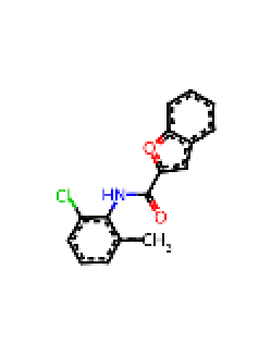 Cc1cccc(Cl)c1NC(=O)c1cc2ccccc2o1